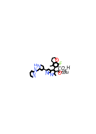 Cc1nc2c(cc(-c3ccnc(CNc4ccccn4)c3)n2C)c(-c2cc(F)c3c(c2C)CCCO3)c1[C@H](OC(C)(C)C)C(=O)O